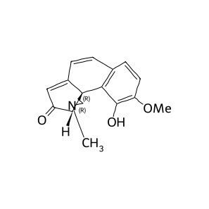 COc1ccc2c(c1O)[C@]13CCN(C)[C@H]1C(=O)C=C3C=C2